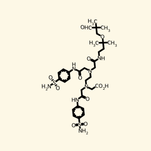 CC(C)(C=O)COC(C)(C)CCNC(=O)CN(CCN(CC(=O)O)CC(=O)Nc1ccc(S(N)(=O)=O)cc1)CC(=O)Nc1ccc(S(N)(=O)=O)cc1